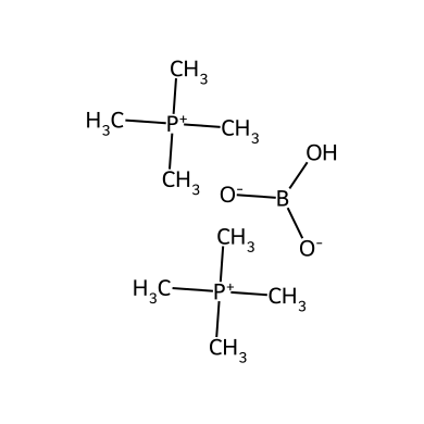 C[P+](C)(C)C.C[P+](C)(C)C.[O-]B([O-])O